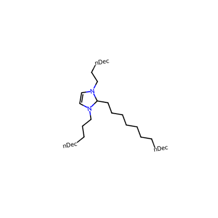 CCCCCCCCCCCCCCCCCC1N(CCCCCCCCCCCC)C=CN1CCCCCCCCCCCCC